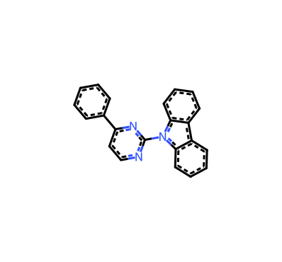 c1ccc(-c2ccnc(-n3c4ccccc4c4ccccc43)n2)cc1